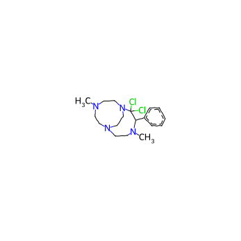 CN1CCN2CCN(C)C(c3ccccc3)C(Cl)(Cl)N(CC1)CC2